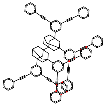 C(#Cc1cc(C#Cc2ccccc2)cc(C23CC4CC(c5cc(C#Cc6ccccc6)cc(C#Cc6ccccc6)c5)(C2)CC(C25CC6CC(c7cc(C#Cc8ccccc8)cc(C#Cc8ccccc8)c7)(CC(c7cc(C#Cc8ccccc8)cc(C#Cc8ccccc8)c7)(C6)C2)C5)(C4)C3)c1)c1ccccc1